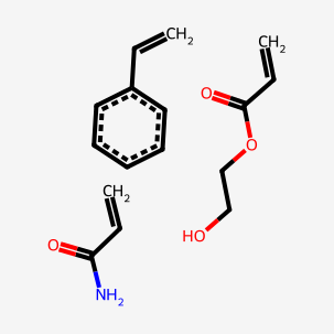 C=CC(=O)OCCO.C=CC(N)=O.C=Cc1ccccc1